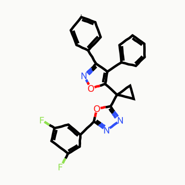 Fc1cc(F)cc(-c2nnc(C3(c4onc(-c5cc[c]cc5)c4-c4ccccc4)CC3)o2)c1